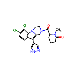 CN1C(=O)CCCC1C(=O)N1CCn2c(c(-c3cn[nH]c3)c3ccc(Cl)c(Cl)c32)C1